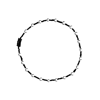 C1#CCCCCCCCCCCCCCCCCCCCCC1